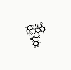 C[C@@H](C1=Cc2cccc(Cl)c2S(O)(O)N1c1cncc(F)c1)N1C(=O)c2ccccc2C1=O